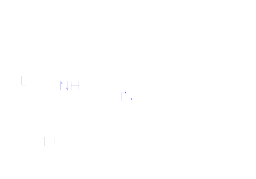 CCNC(CC)C(=O)NCc1ccccc1